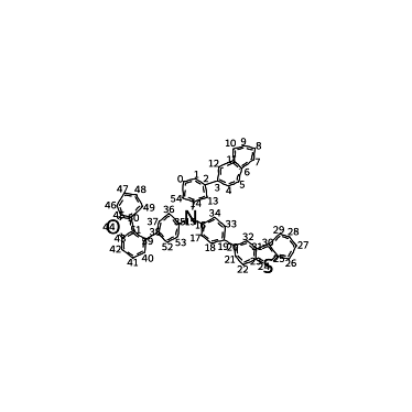 c1cc(-c2ccc3ccccc3c2)cc(N(c2ccc(-c3ccc4sc5ccccc5c4c3)cc2)c2ccc(-c3cccc4oc5ccccc5c34)cc2)c1